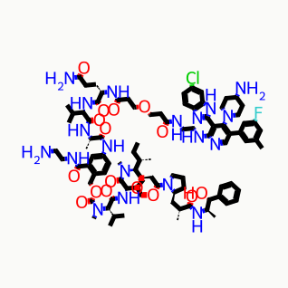 CC[C@H](C)[C@@H]([C@@H](CC(=O)N1CCC[C@H]1C[C@@H](C)C(=O)N[C@H](C)[C@@H](O)c1ccccc1)OC)N(C)C(=O)[C@@H](NC(=O)[C@H](C(C)C)N(C)C(=O)OCc1ccc(NC(=O)[C@H](C)NC(=O)[C@@H](NC(=O)[C@H](CCC(N)=O)NC(=O)CCOCCC(=O)NCCNc2ncc(-c3cc(C)cc(F)c3)c(N3CCC(N)CC3)c2-c2nc3ccc(Cl)cc3[nH]2)C(C)C)cc1C(=O)NCCN)C(C)C